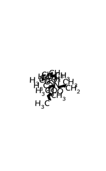 C=C(C)C(=O)NC(CC)(O[Si](C)(C)CCC)[SiH](O[Si](C)(C)C)O[Si](C)(C)C